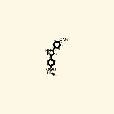 CCNS(=O)(=O)c1ccc(C2=NNC(c3ccc(OC)cc3)C2)cc1